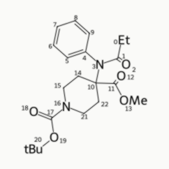 CCC(=O)N(c1ccccc1)C1(C(=O)OC)CCN(C(=O)OC(C)(C)C)CC1